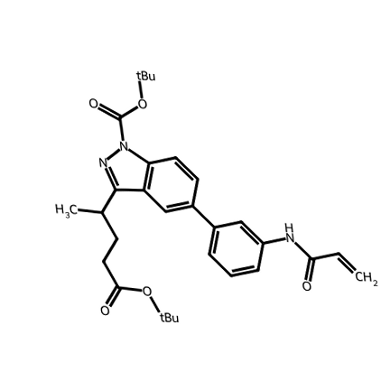 C=CC(=O)Nc1cccc(-c2ccc3c(c2)c(C(C)CCC(=O)OC(C)(C)C)nn3C(=O)OC(C)(C)C)c1